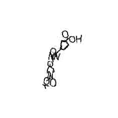 CC(C)(C)OC(=O)N1CCC(OCc2noc(-c3ccc(C(=O)O)cc3)n2)CC1